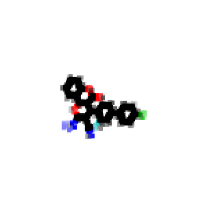 N#CC1=C(N)Oc2c(c(=O)oc3ccccc23)C1c1ccc(-c2ccc(Cl)cc2)cc1F